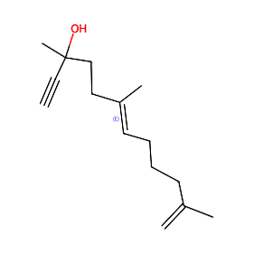 C#CC(C)(O)CC/C(C)=C/CCCC(=C)C